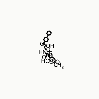 CC(=O)OCC1=C(C(=O)O)N2C(=O)[C@@H](NC(=O)CC(O)C(=O)c3ccc(-c4ccccc4)cc3)[C@H]2SC1